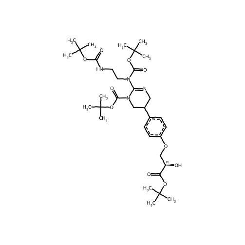 CC(C)(C)OC(=O)NCCN(C(=O)OC(C)(C)C)C1=NCC(c2ccc(OC[C@@H](O)C(=O)OC(C)(C)C)cc2)CN1C(=O)OC(C)(C)C